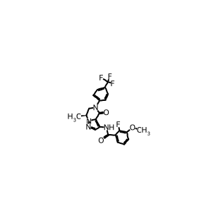 COc1cccc(C(=O)Nc2cnn3c2C(=O)N(c2ccc(C(F)(F)F)cc2)C[C@@H]3C)c1F